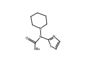 CCCCC(=O)N(c1nccs1)N1CCCCC1